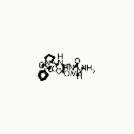 COC(=O)[C@H](CNC(=O)NN)NC(=O)[C@@H]1CCCN1S(=O)(=O)c1ccccc1